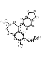 Br.CN1CCc2cc(Cl)c(O)cc2C(c2ccc3c(c2)CCC3)C1